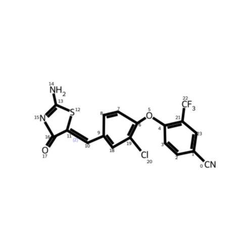 N#Cc1ccc(Oc2ccc(/C=C3\SC(N)=NC3=O)cc2Cl)c(C(F)(F)F)c1